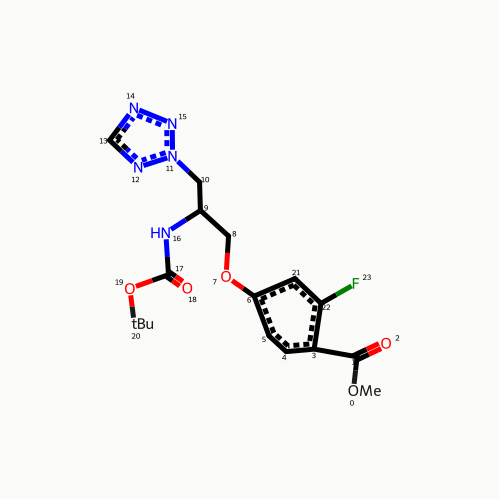 COC(=O)c1ccc(OCC(Cn2ncnn2)NC(=O)OC(C)(C)C)cc1F